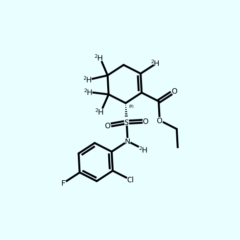 [2H]C1=C(C(=O)OCC)[C@H](S(=O)(=O)N([2H])c2ccc(F)cc2Cl)C([2H])([2H])C([2H])([2H])C1